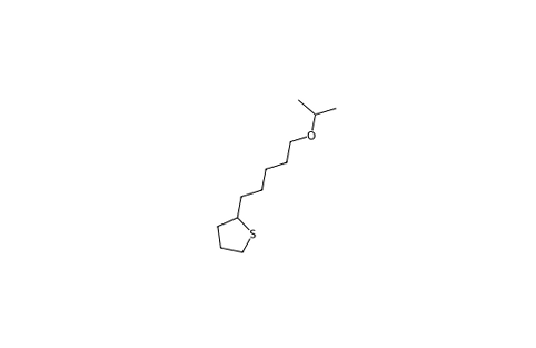 CC(C)OCCCCCC1CCCS1